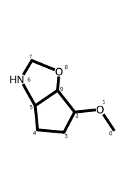 COC1CCC2NCOC21